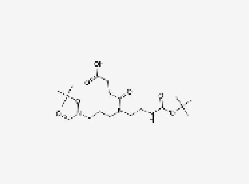 CC(C)(C)OC(=O)NCCN(CCCN(C=O)OC(C)(C)C)C(=O)CCC(=O)O